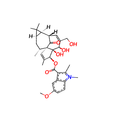 COc1ccc2c(c1)c(C(=O)O[C@H]1C(C)=C[C@]34C(=O)[C@@H](C=C(CO)[C@@H](O)[C@]13O)[C@H]1[C@@H](C[C@H]4C)C1(C)C)c(C)n2C